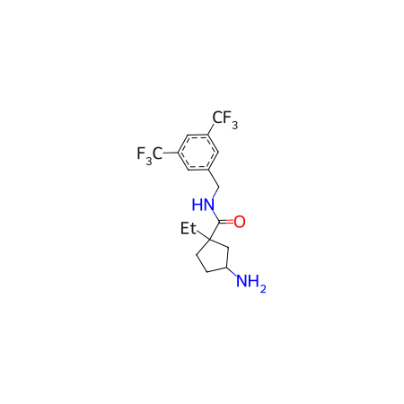 CCC1(C(=O)NCc2cc(C(F)(F)F)cc(C(F)(F)F)c2)CCC(N)C1